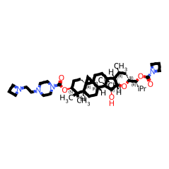 CC(C)[C@@H](OC(=O)N1CCC1)[C@H]1C[C@@H](C)[C@H]2[C@H](O1)[C@H](O)[C@@]1(C)[C@@H]3CC[C@H]4C(C)(C)[C@@H](OC(=O)N5CCN(CCN6CCC6)CC5)CC[C@@]45CC35CC[C@]21C